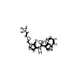 C[Si](C)(C)CCOCn1ncc(NC(O)c2cnn3cccnc23)c1I